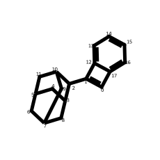 C1=C(C2C3CC4CC(C3)CC2C4)c2ccccc21